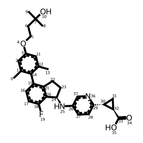 Cc1cc(OCCC(C)(C)O)cc(C)c1-c1ccc(F)c2c1CC[C@H]2Nc1ccc([C@@H]2C[C@H]2C(=O)O)nc1